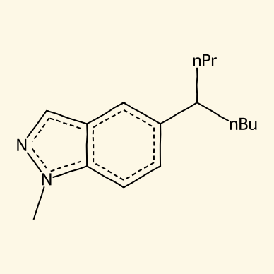 CCCCC(CCC)c1ccc2c(cnn2C)c1